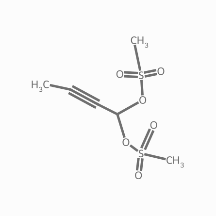 CC#CC(OS(C)(=O)=O)OS(C)(=O)=O